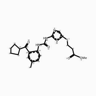 COC(=O)CCSc1cnc(NC(=O)Nc2ccc(C)cc2C(=O)C2CCCC2)s1